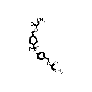 C=CC(=O)OCc1ccc(OC(F)(F)C2CCC(COC(=O)C=C)CC2)cc1